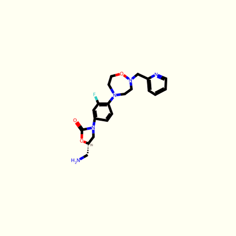 NC[C@H]1CN(c2ccc(N3CCON(Cc4ccccn4)CC3)c(F)c2)C(=O)O1